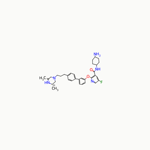 C[C@@H]1CN(CCCc2ccc(-c3cccc(Oc4ncc(F)cc4C(=O)NC4CCC(N)CC4)c3)cc2)C[C@H](C)N1